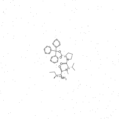 CC[C@H](C)[C@H](N)C(=O)N(C)[C@H](C(=O)N1CCC[C@H]1C(=O)OC(c1ccccc1)(c1ccccc1)c1ccccc1)C(C)C